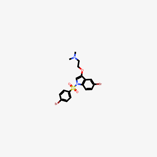 CN(C)CCOc1cn(S(=O)(=O)c2ccc(Br)cc2)c2ccc(Br)cc12